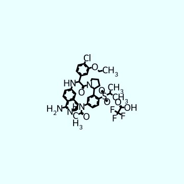 CCOc1cc(C(Nc2ccc3c(N)nccc3c2)C(=O)N2CCCC2c2cc(NC(C)=O)ccc2S(=O)(=O)C(C)C)ccc1Cl.O=C(O)C(F)(F)F